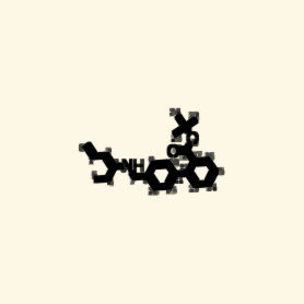 C=C/C=C(\CC)NCc1ccc(-c2ccccc2C(=O)OC(C)(C)C)cc1